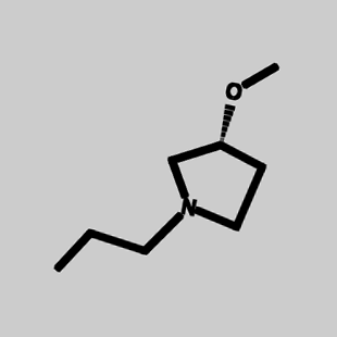 CCCN1CC[C@@H](OC)C1